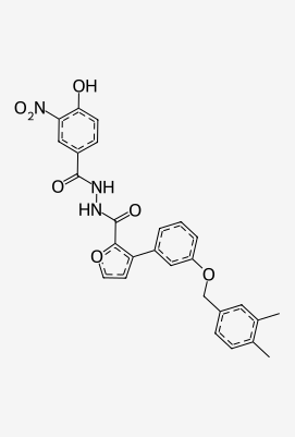 Cc1ccc(COc2cccc(-c3ccoc3C(=O)NNC(=O)c3ccc(O)c([N+](=O)[O-])c3)c2)cc1C